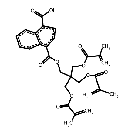 C=C(C)C(=O)OCC(COC(=O)C(=C)C)(COC(=O)C(=C)C)COC(=O)c1ccc(C(=O)O)c2ccccc12